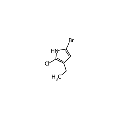 CCc1cc(Br)[nH]c1Cl